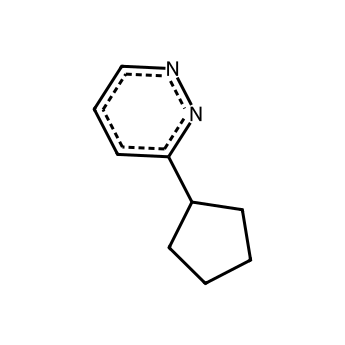 c1cnnc(C2CCCC2)c1